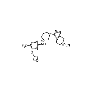 N#C[C@H]1CCn2c(nnc2[C@H]2CCC[C@@H](Nc3ncc(C(F)(F)F)c(OC4COC4)n3)C2)C1